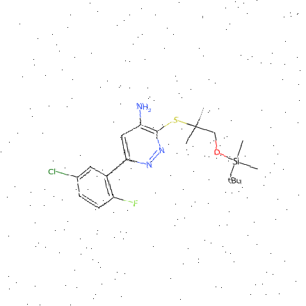 CC(C)(CO[Si](C)(C)C(C)(C)C)Sc1nnc(-c2cc(Cl)ccc2F)cc1N